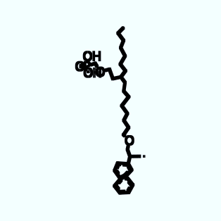 [CH2]C(COCCCCCCCCC(CCCCCCC)CCOCP(=O)(O)O)c1ccc2ccccc2c1